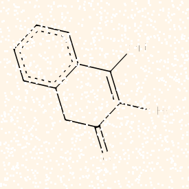 O=CC1=C(O)c2ccccc2CC1=O